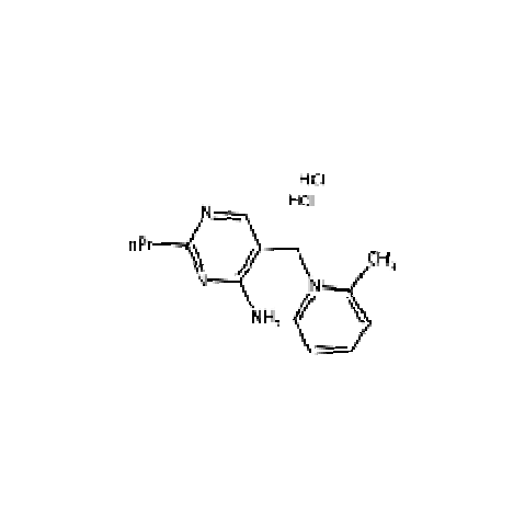 CCCc1ncc(C[n+]2ccccc2C)c(N)n1.Cl.Cl